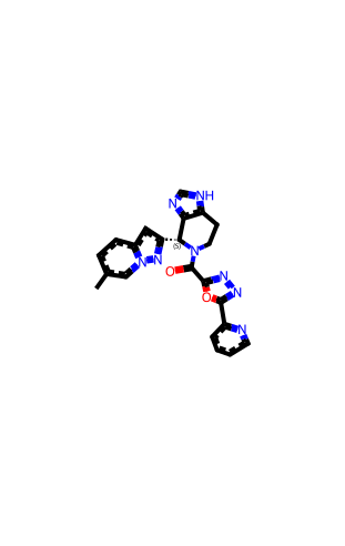 Cc1ccc2cc([C@@H]3c4nc[nH]c4CCN3C(=O)c3nnc(-c4ccccn4)o3)nn2c1